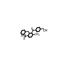 Cc1ccc(C(O)=S)c(Cc2ccccc2)c1C(=S)c1ccc(CC#N)cc1